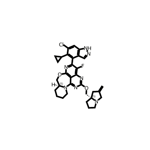 C=C1CN2CCC[C@@]2(COc2nc3c4c(nc(-c5c(C6CC6)c(Cl)cc6[nH]ncc56)c(F)c4n2)OC[C@@H]2CCCCN32)C1